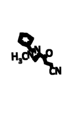 Cn1cc(C(=O)CCC#N)nc1-c1ccccc1